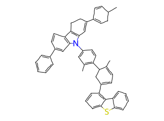 CC1=CC=C(c2cccc3sc4ccccc4c23)CC1c1ccc(-n2c3c(c4ccc(-c5ccccc5)cc42)CCC(C2=CCC(C)C=C2)=C3)cc1C